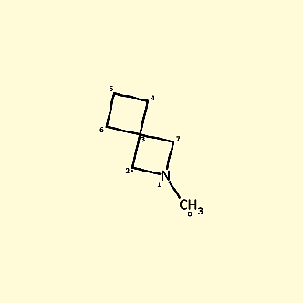 CN1[CH]C2(CCC2)C1